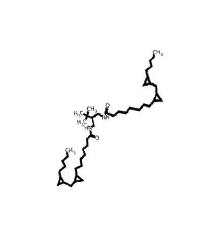 CCCCCC1CC1CC1CC1CCCCCCCC(=O)NCC(CNC(=O)CCCCCCCC1CC1CC1CC1CCCCC)C(C)(C)C